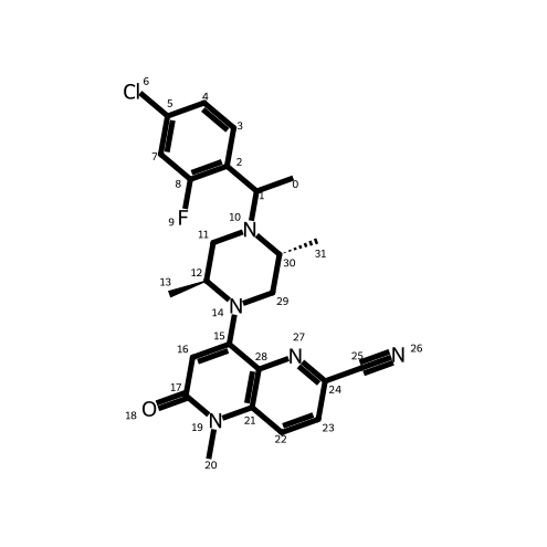 CC(c1ccc(Cl)cc1F)N1C[C@H](C)N(c2cc(=O)n(C)c3ccc(C#N)nc23)C[C@H]1C